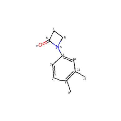 Cc1ccc(N2CCC2=O)cc1C